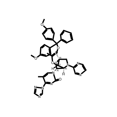 COc1ccc(C(OC[C@@]23CN(c4cnccn4)[C@@H]([C@H](n4cc(C)c(-n5cncn5)nc4=O)O2)[C@@H]3OC(C)=O)(c2ccccc2)c2ccc(OC)cc2)cc1